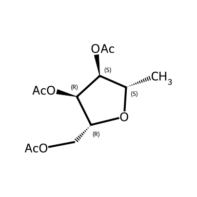 CC(=O)OC[C@H]1O[C@@H](C)[C@H](OC(C)=O)[C@@H]1OC(C)=O